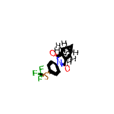 O=C1[C@@H]2[C@@H]3CC[C@@H]([C@H]4C[C@H]43)[C@@H]2C(=O)N1c1ccc(SC(F)(F)F)cc1